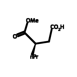 CCC[C@H](CC(=O)O)C(=O)OC